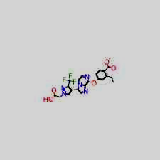 CCc1cc(Oc2nccn3c(-c4cn(CC(=O)O)nc4C(F)(F)F)cnc23)ccc1C(=O)OC